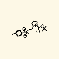 Cc1ccc(S(=O)(=O)OCCC2CCCN2C(=O)OC(C)(C)C)cc1